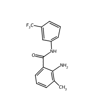 Cc1cccc(C(=O)Nc2cccc(C(F)(F)F)c2)c1N